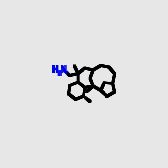 C[C@H]1CCCC2C1C1(C)CC(CCCC3CCC1C3)CC2(C)CN